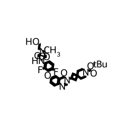 CN(CCO)S(=O)(=O)Nc1ccc(F)c(Oc2ccc3ncn(C4CC5(CCN(C(=O)OC(C)(C)C)CC5)C4)c(=O)c3c2)c1F